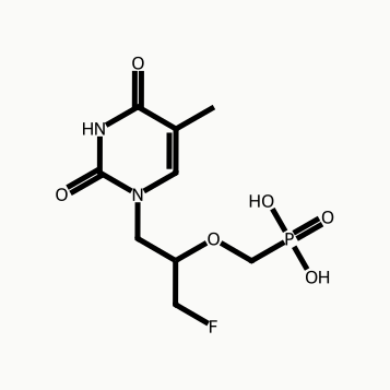 Cc1cn(CC(CF)OCP(=O)(O)O)c(=O)[nH]c1=O